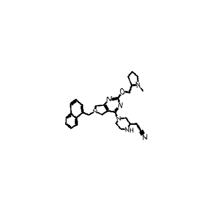 CN1CCCC1COc1nc2c(c(N3CCNC(CC#N)C3)n1)CN(Cc1cccc3ccccc13)C2